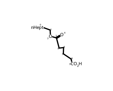 CCCCCCCCOC(=O)CCCCC(=O)O